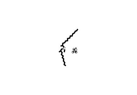 CCCCCCCCCCCCCC(C)C[S+](CC)CC(C)CCCCCCCCC.COS(=O)(=O)[O-]